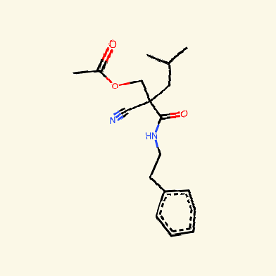 CC(=O)OCC(C#N)(CC(C)C)C(=O)NCCc1ccccc1